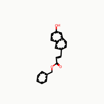 O=C(C=Cc1ccc2cc(O)ccc2c1)OCc1ccccc1